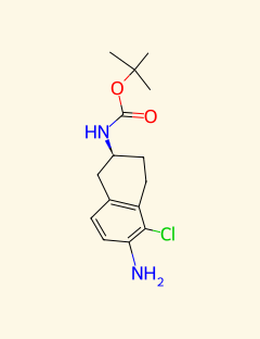 CC(C)(C)OC(=O)N[C@H]1CCc2c(ccc(N)c2Cl)C1